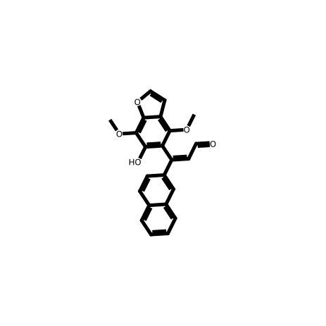 COc1c(C(=CC=O)c2ccc3ccccc3c2)c(O)c(OC)c2occc12